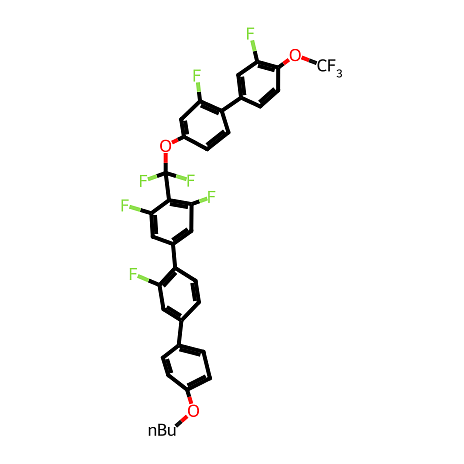 CCCCOc1ccc(-c2ccc(-c3cc(F)c(C(F)(F)Oc4ccc(-c5ccc(OC(F)(F)F)c(F)c5)c(F)c4)c(F)c3)c(F)c2)cc1